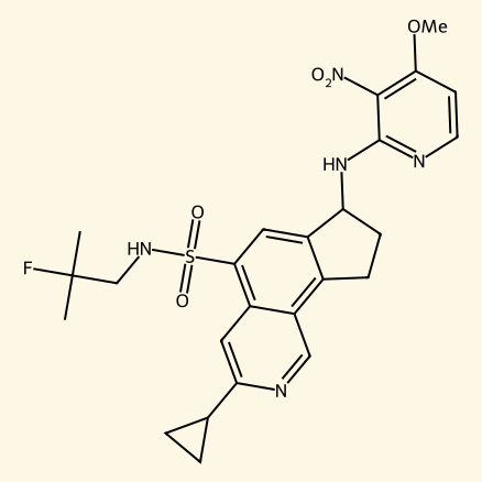 COc1ccnc(NC2CCc3c2cc(S(=O)(=O)NCC(C)(C)F)c2cc(C4CC4)ncc32)c1[N+](=O)[O-]